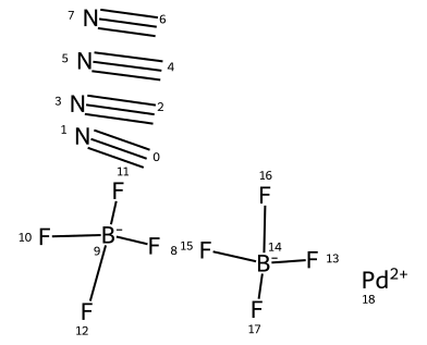 C#N.C#N.C#N.C#N.F[B-](F)(F)F.F[B-](F)(F)F.[Pd+2]